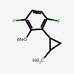 COc1c(F)ccc(F)c1C1CC1C(=O)O